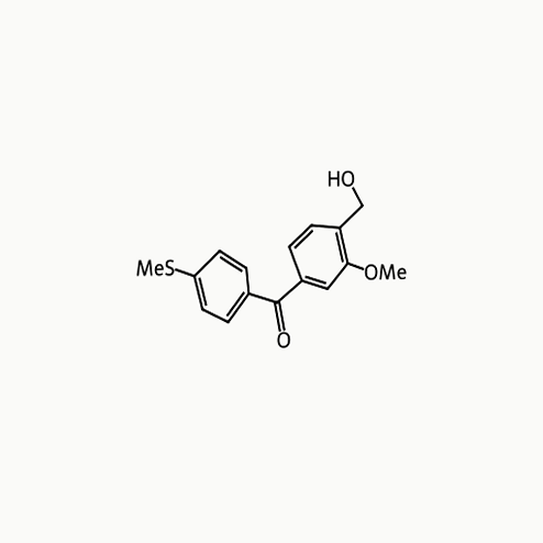 COc1cc(C(=O)c2ccc(SC)cc2)ccc1CO